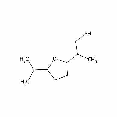 CC(C)C1CCC(C(C)CS)O1